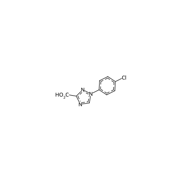 O=C(O)c1ncn(-c2ccc(Cl)cc2)n1